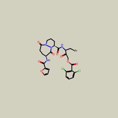 CC(C)CC(NC(=O)[C@@H]1CCCN2C(=O)CC[C@H](NC(=O)c3ccco3)C(=O)N12)C(=O)COC(=O)c1c(Cl)cccc1Cl